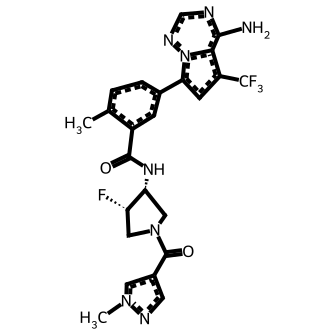 Cc1ccc(-c2cc(C(F)(F)F)c3c(N)ncnn23)cc1C(=O)N[C@@H]1CN(C(=O)c2cnn(C)c2)C[C@@H]1F